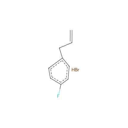 Br.C=CCc1ccc(F)cc1